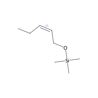 CC/C=C\CO[Si](C)(C)C